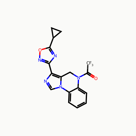 O=C(N1Cc2c(-c3noc(C4CC4)n3)ncn2-c2ccccc21)C(F)(F)F